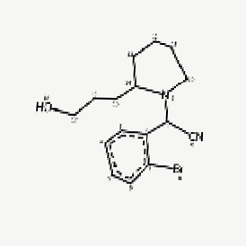 N#CC(c1ccccc1Br)N1CCCCC1CCCO